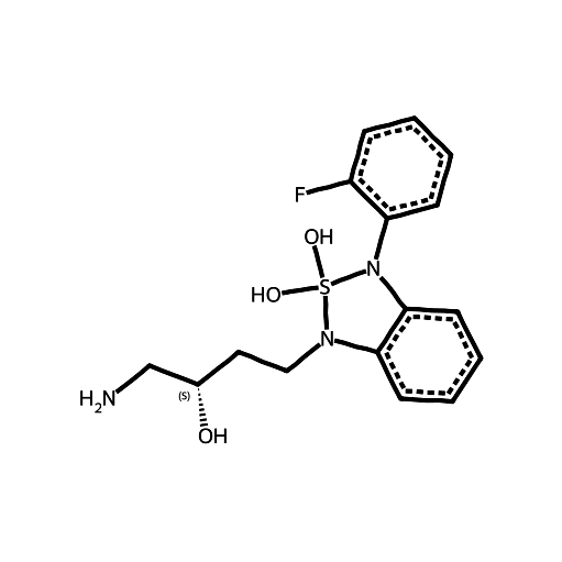 NC[C@@H](O)CCN1c2ccccc2N(c2ccccc2F)S1(O)O